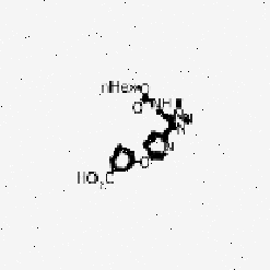 CCCCCCOC(=O)NCc1c(-c2ccc(O[C@H]3CCC[C@H](C(=O)O)C3)cn2)nnn1C